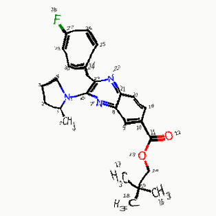 C[C@H]1CCCN1c1nc2cc(C(=O)OCC(C)(C)C)ccc2nc1-c1ccc(F)cc1